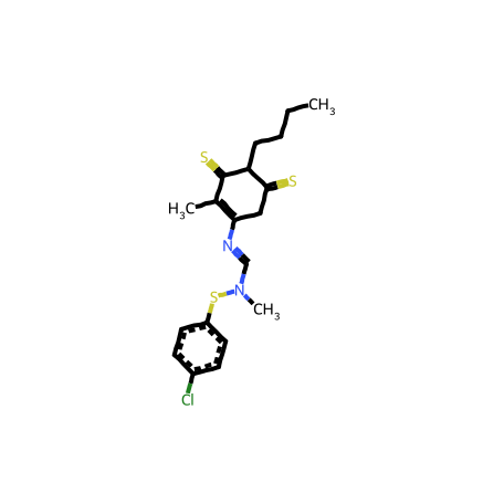 CCCCC1C(=S)CC(N=CN(C)Sc2ccc(Cl)cc2)=C(C)C1=S